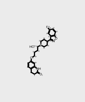 Cl.O=C1CCc2ccc(OCCCCN3CCC(c4noc5ccc(F)cc45)CC3)cc2N1